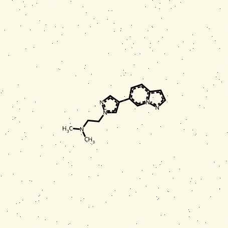 CN(C)CCn1cc(-c2ccc3ccnn3c2)cn1